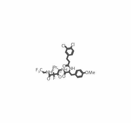 COc1ccc(CC(NC(=O)CCc2ccc(Cl)c(Cl)c2)C(=O)N[C@H](C(=O)C(F)(F)C(=O)NCC(F)(F)F)C(C)C)cc1